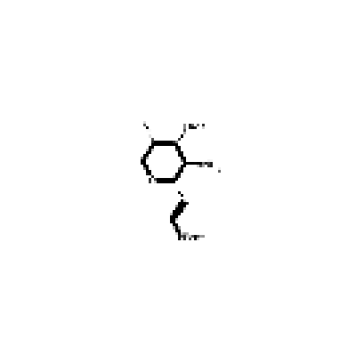 CCCCC/C=C/[C@@H]1OC[C@H](C)[C@H](OC)[C@H]1N